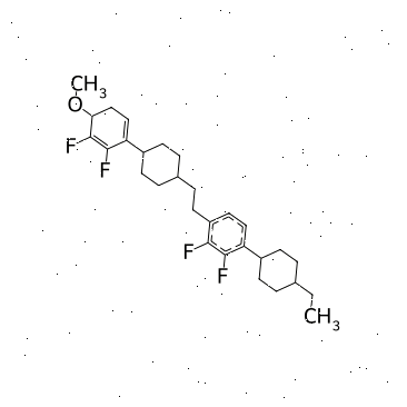 CCC1CCC(c2ccc(CCC3CCC(C4=CCC(OC)C(F)=C4F)CC3)c(F)c2F)CC1